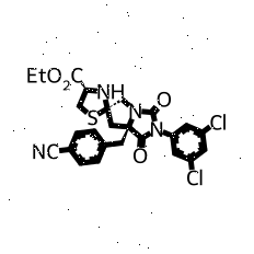 CCOC(=O)[C@H]1CS[C@@]2(CN3C(=O)N(c4cc(Cl)cc(Cl)c4)C(=O)[C@]3(Cc3ccc(C#N)cc3)C2)N1